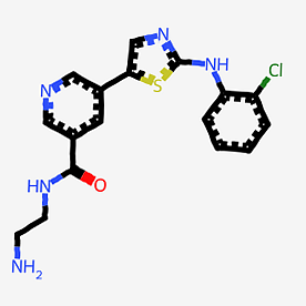 NCCNC(=O)c1cncc(-c2cnc(Nc3ccccc3Cl)s2)c1